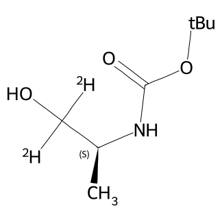 [2H]C([2H])(O)[C@H](C)NC(=O)OC(C)(C)C